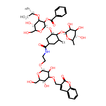 CCC[C@H](OC1C(OC(=O)c2ccccc2)[C@H](O[C@@H]2CC(C(=O)NCCO[C@H]3OC(CO)[C@@H](O)C(OCc4cc5ccccc5oc4=O)C3O)CC(CC)C2O[C@@H]2OC(C)[C@@H](O)C(O)C2O)OC(CO)[C@@H]1O)C(=O)O